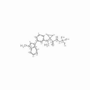 CN(c1ccnc(-c2cn(C)c3ncncc23)n1)C1(C(=O)NCC(F)(F)F)CC1